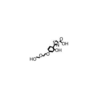 O=C(O)[C@H]1CSC(c2ccc(OCCOCCO)cc2O)=N1